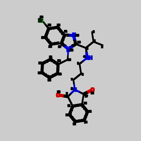 CC(C)[C@@H](NCCCN1C(=O)c2ccccc2C1=O)c1nc2cc(Br)ccc2n1Cc1ccccc1